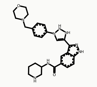 O=C(NC1CCCNC1)c1ccc2[nH]nc(C3=CN(c4ccc(CN5CCOCC5)cc4)NN3)c2c1